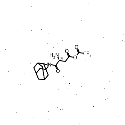 N[C@@H](CC(=O)OC(=O)C(F)(F)F)C(=O)NC12CC3CC(CC(C3)C1)C2